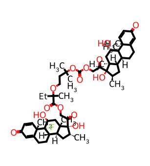 CCC(C)(OCCC(C)(C)OC(=O)OCC(=O)[C@@]1(O)[C@H](C)C[C@H]2[C@@H]3CCC4=CC(=O)C=C[C@]4(C)[C@@]3(C)[C@@H](O)C[C@@]21C)C(=O)OCC(=O)[C@@]1(O)[C@H](C)C[C@H]2[C@@H]3CCC4=CC(=O)C=C[C@]4(C)[C@@]3(F)[C@@H](O)C[C@@]21C